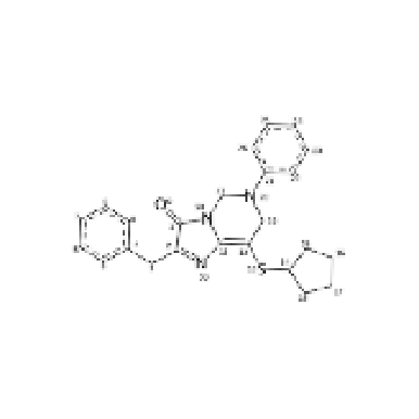 O=C1C(Cc2ccccc2)=NC2=C(SC3CCCC3)CN(c3ccccc3)CN12